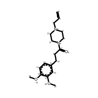 C=CCN1CCN(C(=O)CCc2ccc(OC)c(OC)c2)CC1